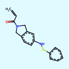 C=CC(=O)N1Cc2ccc(NSc3ccccc3)cc2C1